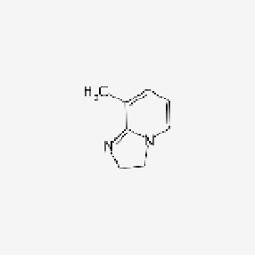 CC1=CC=CN2CCN=C12